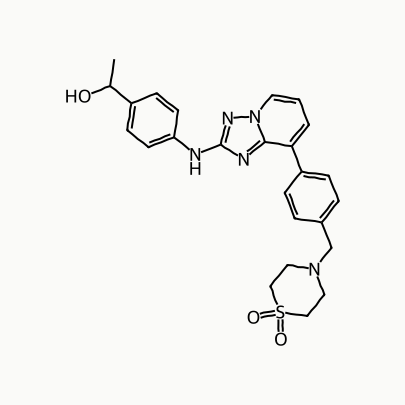 CC(O)c1ccc(Nc2nc3c(-c4ccc(CN5CCS(=O)(=O)CC5)cc4)cccn3n2)cc1